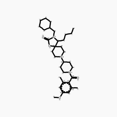 CCCCC1N(CC2CCCCC2)C(=O)OC12CCN(C1CCN(C(=O)c3c(C)cc(OC)cc3C)CC1)CC2